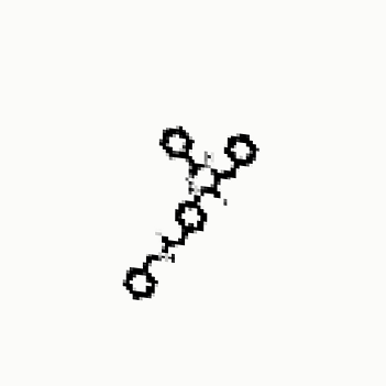 O=C(Cc1ccc(NC(=O)C(=Cc2ccccc2)NC(=O)c2ccccc2)cc1)NCc1ccccc1